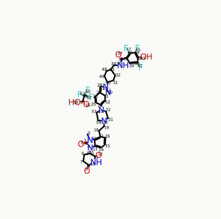 Cn1c(=O)n([C@@H]2CCC(=O)NC2=O)c2cccc(CCN3CCN(c4ccc5cn(C6CCC(CNC(=O)c7cc(F)c(O)c(F)c7F)CC6)nc5c4)CC3)c21.O=C(O)C(F)(F)F